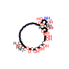 CC1O[C@@H](O[C@H]2/C=C/C=C/C=C/C=C/C=C/C=C/C=C/[C@H](C)[C@@H](O)[C@@H](C)[C@H](C)OC(=O)C[C@H](O)C[C@H](O)C[C@H](O)CC[C@@H](O)[C@H](O)C[C@]3(O)C[C@H](O)[C@@H](C)[C@H](C2)O3)[C@@H](O)C(N)[C@@H]1O